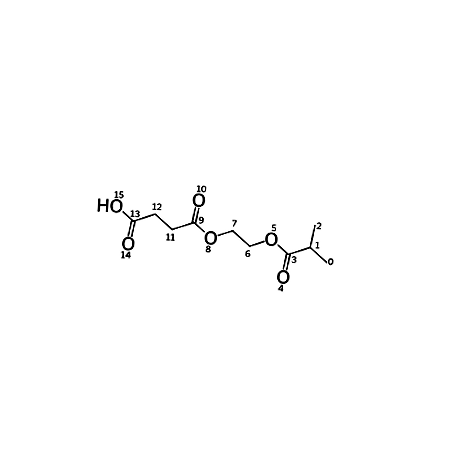 CC(C)C(=O)OCCOC(=O)CCC(=O)O